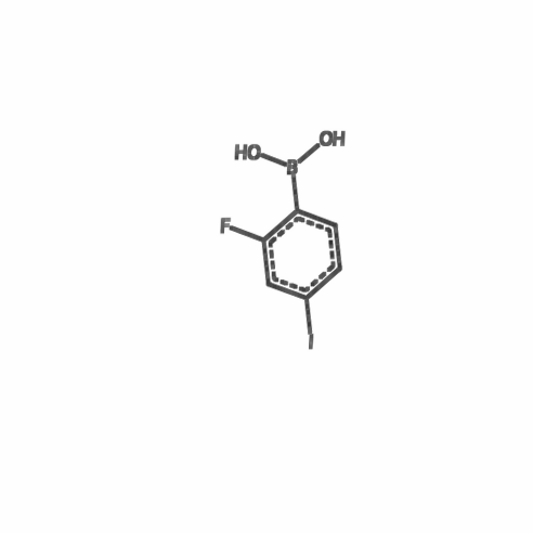 OB(O)c1ccc(I)cc1F